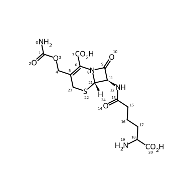 NC(=O)OCC1=C(C(=O)O)N2C(=O)[C@@H](NC(=O)CCCC(N)C(=O)O)[C@@H]2SC1